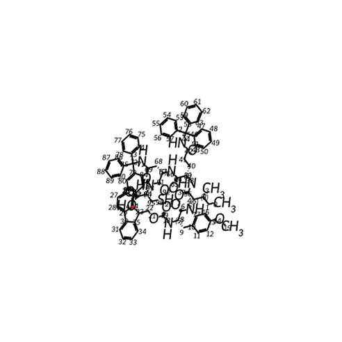 CC[C@H](C)[C@H](NC(=O)[C@H](Cc1ccc(OC)cc1)NC(=O)OCC1c2ccccc2-c2ccccc21)C(=O)N[C@@H](CCC(=O)NC(c1ccccc1)(c1ccccc1)c1ccccc1)C(=O)N[C@@H](CC(=O)NC(c1ccccc1)(c1ccccc1)c1ccccc1)C(=O)N[C@@H](CS)C(=O)O